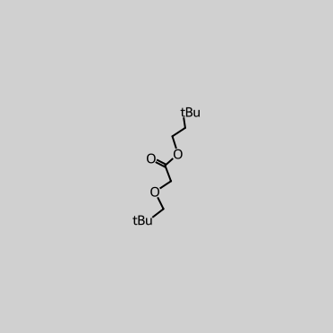 CC(C)(C)CCOC(=O)COCC(C)(C)C